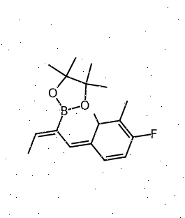 C/C=C(\C=C1\C=CC(F)=C(C)C1C)B1OC(C)(C)C(C)(C)O1